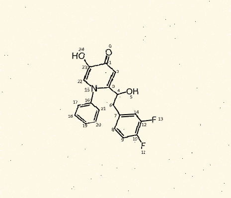 O=c1cc(C(O)Cc2ccc(F)c(F)c2)n(-c2ccccc2)cc1O